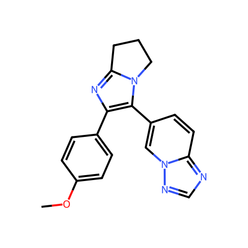 COc1ccc(-c2nc3n(c2-c2ccc4ncnn4c2)CCC3)cc1